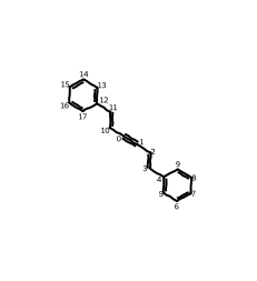 C(#CC=Cc1ccccc1)C=Cc1ccccc1